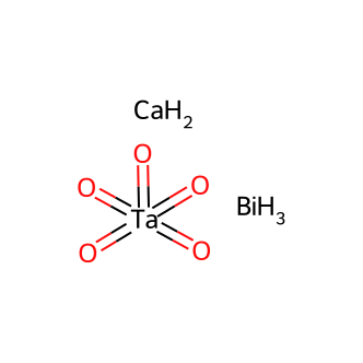 [BiH3].[CaH2].[O]=[Ta](=[O])(=[O])(=[O])=[O]